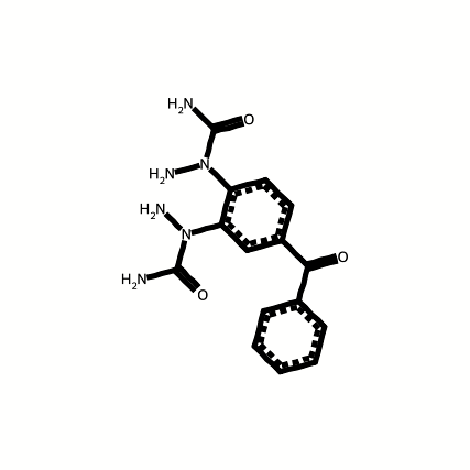 NC(=O)N(N)c1ccc(C(=O)c2ccccc2)cc1N(N)C(N)=O